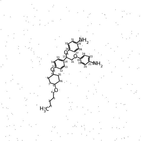 CCCCCOC1CCC(Oc2ccc(C(COc3ccc(N)cc3)Oc3ccc(N)cc3)cc2)CC1